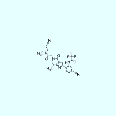 C[C@H]1CN(CC(=O)N(C)CCC#N)C(=O)c2cc(-c3ccc(C#N)cc3NC(=O)C(F)(F)F)nn21